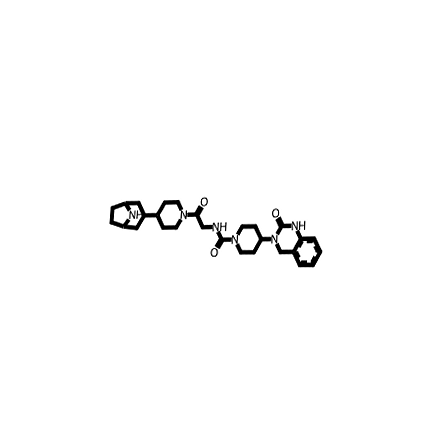 O=C(CNC(=O)N1CCC(N2Cc3ccccc3NC2=O)CC1)N1CCC(C2CC3CCC(C2)N3)CC1